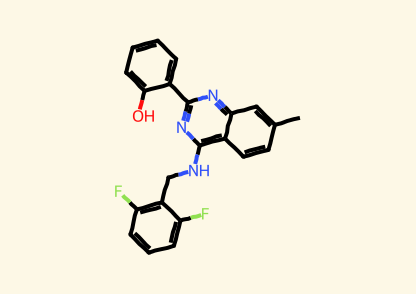 Cc1ccc2c(NCc3c(F)cccc3F)nc(-c3ccccc3O)nc2c1